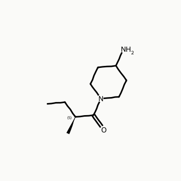 CC[C@H](C)C(=O)N1CCC(N)CC1